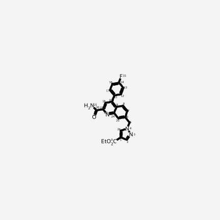 CCOC(=O)c1cnn(Cc2ccc3c(-c4ccc(F)cc4)cc(C(N)=O)nc3c2)c1